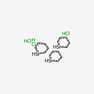 Cl.Cl.Cl.c1cc[siH]cc1.c1cc[siH]cc1.c1cc[siH]cc1